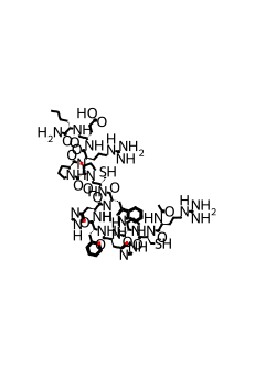 CCCC[C@H](NC(=O)[C@H](CCC(=O)O)NC(=O)[C@@H](CCCNC(=N)N)NC(=O)[C@@H]1CCCN1C(=O)[C@@H]1CCCN1C(=O)[C@H](CS)NC(=O)[C@H](Cc1c[nH]c2ccccc12)NC(=O)[C@H](Cc1c[nH]cn1)NC(=O)[C@@H](Cc1ccccc1)NC(=O)[C@H](Cc1c[nH]cn1)NC(=O)[C@@H]1CCCN1C(=O)[C@H](CS)NC(=O)[C@H](CCCNC(=N)N)NC(C)=O)C(N)=O